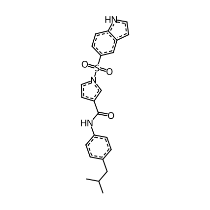 CC(C)Cc1ccc(NC(=O)c2ccn(S(=O)(=O)c3ccc4[nH]ccc4c3)c2)cc1